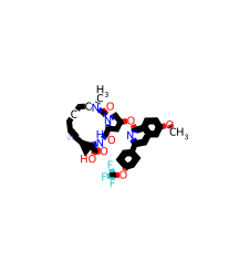 COc1ccc2c(OC3CC4C(=O)NC5(C(=O)O)CC5/C=C\CCCCN(C)C(=O)N4C3)nc(-c3ccc(OC(F)(F)F)cc3)cc2c1